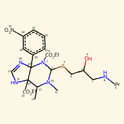 CCOC(=O)N1C(SCC(O)CNC(C)C)N(C)C(C)C2(C(=O)OCC)NC=NC12c1cccc([N+](=O)[O-])c1